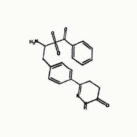 NC(Cc1ccc(C2=NNC(=O)CC2)cc1)S(=O)(=O)C(=O)c1ccccc1